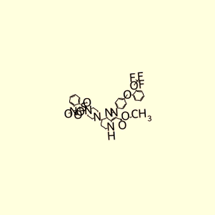 CCOC(=O)c1c2c(nn1-c1ccc(Oc3ccccc3OC(F)(F)F)cc1)[C@@H](N1CCN(S(=O)(=O)c3ccccc3[N+](=O)[O-])CC1)CCN2